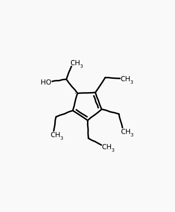 CCC1=C(CC)C(CC)=C(CC)[C]1C(C)O